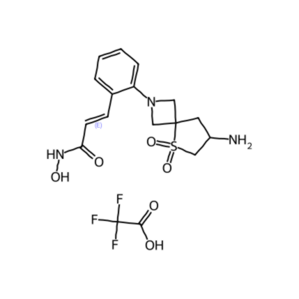 NC1CC2(CN(c3ccccc3/C=C/C(=O)NO)C2)S(=O)(=O)C1.O=C(O)C(F)(F)F